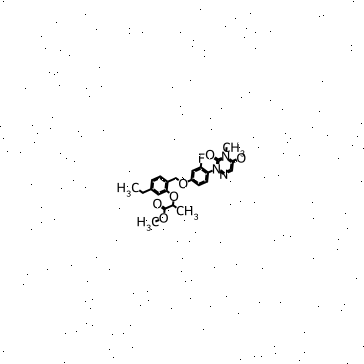 CCc1ccc(COc2ccc(-n3ncc(=O)n(C)c3=O)c(F)c2)c(OC(C)C(=O)OC)c1